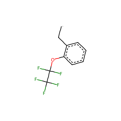 [CH2]Cc1ccccc1OC(F)(F)C(F)(F)F